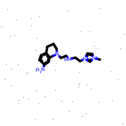 C[n+]1ccn(CCNCCN2CCCc3ccc(N)cc32)c1